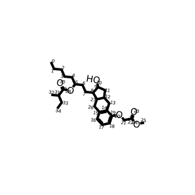 CCCCCC(CCC1C(O)CC2Cc3c(cccc3OCC(=O)OC)CC21)OC(=O)C(C)CC